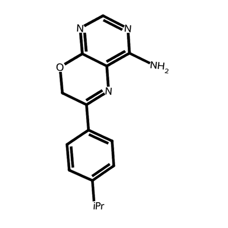 CC(C)c1ccc(C2=Nc3c(N)ncnc3OC2)cc1